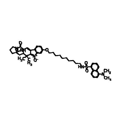 CN(C)c1cccc2c(S(=O)(=O)NCCCCCCCCCCOc3ccc4c(c3)[N+]([O-])=C3C4=C[C@@]45NC(=O)[C@]6(CCCN6C4=O)CC5C3(C)C)cccc12